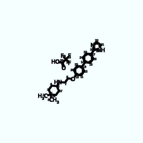 CC1(C)CCC(NCCOc2ccc(-c3ccc(-c4ncc[nH]4)cc3)cc2)CC1.O=C(O)C(F)(F)F